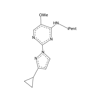 CCCC(C)Nc1nc(-n2ccc(C3CC3)n2)ncc1OC